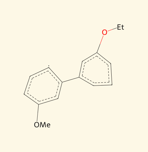 CCOc1cccc(-c2[c]ccc(OC)c2)c1